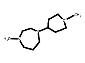 [CH2-][C+]1CCC(N2CCCN(C)CC2)CC1